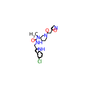 CN(C(=O)NCc1cc2cc(Cl)ccc2[nH]1)[C@@H]1CCCN(C(=O)Cc2ccno2)C1